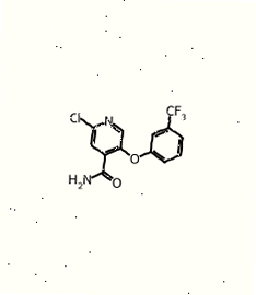 NC(=O)c1cc(Cl)ncc1Oc1cccc(C(F)(F)F)c1